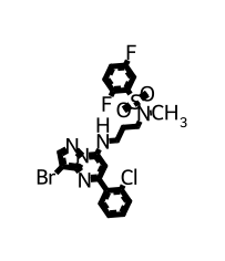 CN(CCCNc1cc(-c2ccccc2Cl)nc2c(Br)cnn12)S(=O)(=O)c1cc(F)ccc1F